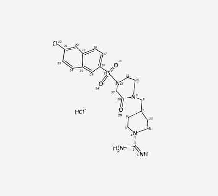 Cl.N=C(N)N1CCC(CN2CCN(S(=O)(=O)c3ccc4cc(Cl)ccc4c3)CC2=O)CC1